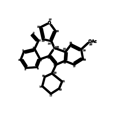 C=Cc1ccccc1-c1c(C2CCCCC2)c2ccc(OC(C)=O)cc2n1-c1ccoc1